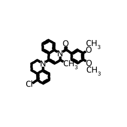 COc1ccc(C(=O)N2c3ccccc3C(N3CCCc4c(Cl)cccc43)=CC2C)cc1OC